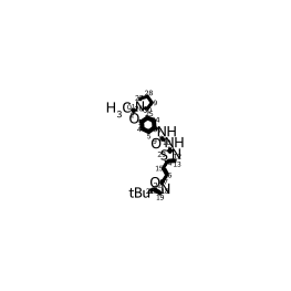 CC(Oc1ccc(NC(=O)Nc2ncc(/C=C/c3ncc(C(C)(C)C)o3)s2)cc1)N1CCCC1